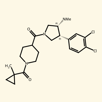 CN[C@H]1CN(C(=O)C2CCN(C(=O)C3(C)CC3)CC2)C[C@H]1c1ccc(Cl)c(Cl)c1